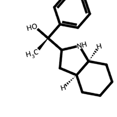 C[C@@](O)(c1ccccc1)C1C[C@@H]2CCCC[C@@H]2N1